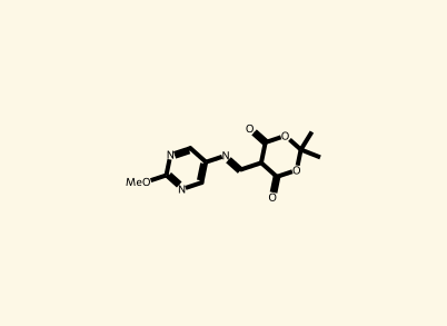 COc1ncc(/N=C/C2C(=O)OC(C)(C)OC2=O)cn1